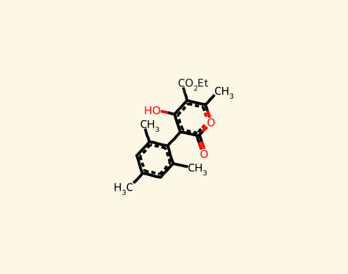 CCOC(=O)c1c(C)oc(=O)c(-c2c(C)cc(C)cc2C)c1O